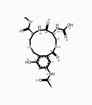 COC(=O)[C@@H]1CSCc2c(O)cc(NC(C)=O)cc2C(=O)OC[C@H](NC(=O)O)C(=O)N1